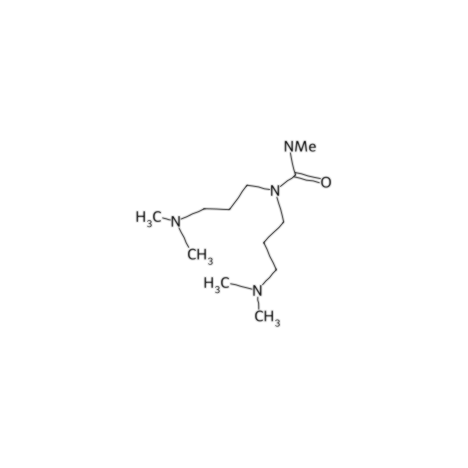 CNC(=O)N(CCCN(C)C)CCCN(C)C